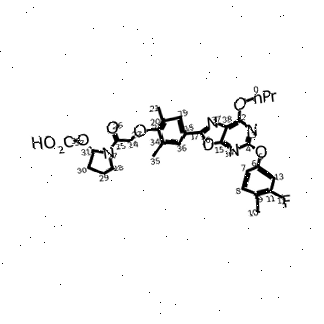 CCCOc1nc(Oc2ccc(C)c(F)c2)nc2oc(-c3cc(C)c(OCC(=O)N4CCC[C@@H]4OC(=O)O)c(C)c3)nc12